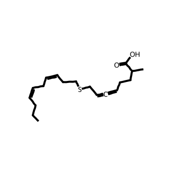 CCC/C=C\C/C=C\CCSCC=C=CCCC(C)C(=O)O